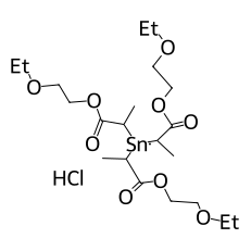 CCOCCOC(=O)[CH](C)[Sn]([CH](C)C(=O)OCCOCC)[CH](C)C(=O)OCCOCC.Cl